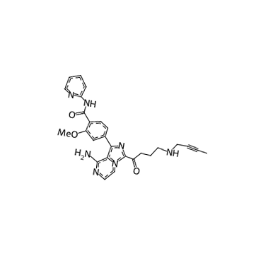 CC#CCNCCCC(=O)c1nc(-c2ccc(C(=O)Nc3ccccn3)c(OC)c2)c2c(N)nccn12